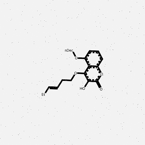 CCC=CCCOc1c(O)c(=O)oc2cccc(OCCCCCCCCCC)c12